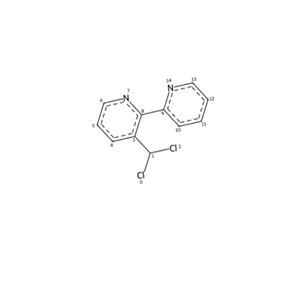 ClC(Cl)c1cccnc1-c1ccccn1